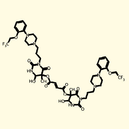 CC1(OC(=O)/C=C/C(=O)OC2(C)C(=O)N(CCCN3CCN(c4ccccc4OCC(F)(F)F)CC3)C(=O)NC2O)C(=O)N(CCCN2CCN(c3ccccc3OCC(F)(F)F)CC2)C(=O)NC1O